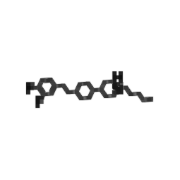 C=CCCC[SiH]1CCC(C2CCC(CCc3ccc(F)c(F)c3)CC2)CC1